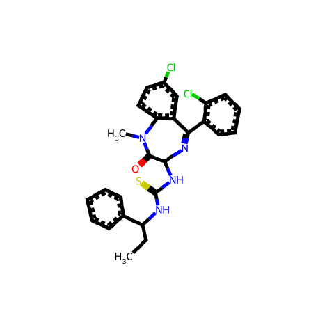 CCC(NC(=S)NC1N=C(c2ccccc2Cl)c2cc(Cl)ccc2N(C)C1=O)c1ccccc1